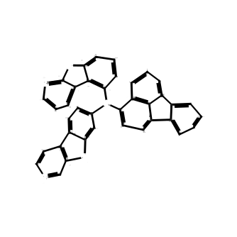 c1ccc2c(c1)-c1cccc3c(N(c4ccc5c(c4)oc4cnccc45)c4cccc5oc6ncccc6c45)ccc-2c13